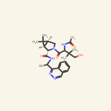 CC(C)(CO)C(NC(=O)C(F)(F)F)C(=O)N1C[C@H]2[C@@H]([C@H]1C(=O)NC(C#N)c1nncc3ccccc13)C2(C)C